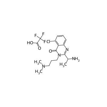 CC(N)c1nc2cccc(Cl)c2c(=O)n1CCCN(C)C.O=C(O)C(F)(F)F